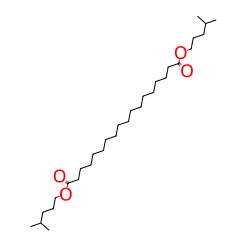 CC(C)CCCOC(=O)CCCCCCCCCCCCCCCCC(=O)OCCCC(C)C